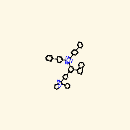 c1ccc(-c2ccc(-c3nc(-c4ccc(-c5ccccc5)cc4)nc(-c4cc(-c5ccc(-c6nc7ccccn7c6-c6ccccc6)cc5)cc(-c5cccc6ccccc56)c4)n3)cc2)cc1